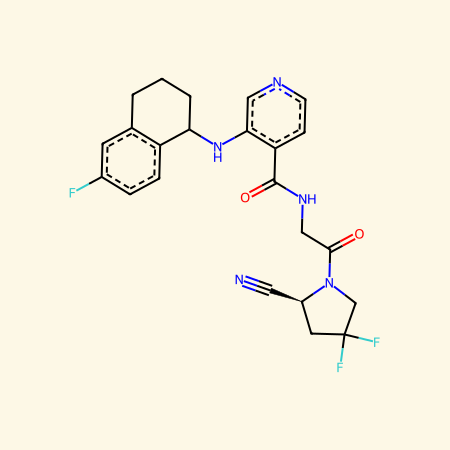 N#C[C@@H]1CC(F)(F)CN1C(=O)CNC(=O)c1ccncc1NC1CCCc2cc(F)ccc21